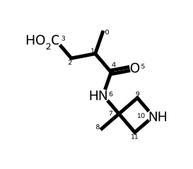 CC(CC(=O)O)C(=O)NC1(C)CNC1